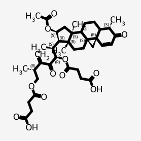 C=C(C(=O)[C@H](OC(=O)CCC(=O)O)[C@@H](C)[C@H]1[C@@H](OC(C)=O)C[C@@]2(C)C3CCC4[C@H](C)C(=O)C=C[C@@]45C[C@@]35CC[C@]12C)[C@@H](C)COC(=O)CCC(=O)O